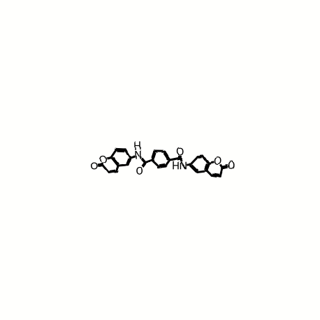 O=C(Nc1ccc2oc(=O)ccc2c1)c1ccc(C(=O)Nc2ccc3oc(=O)ccc3c2)cc1